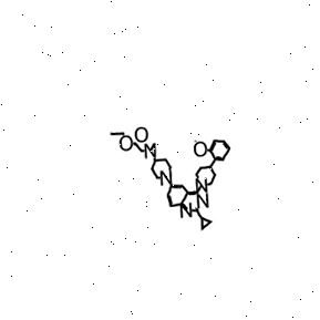 CCOC(=O)CN(C)C1CCN(c2ccc3nc(C4CC4)nc(N4CCC(c5ccccc5OC)CC4)c3c2)CC1